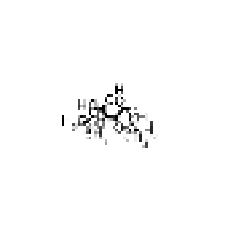 C[Si](C)(C)O[C@H](C(=O)O)[C@H](O[Si](C)(C)C)C(=O)O